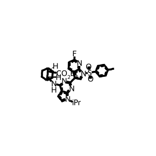 CCOC(=O)[C@@H]1C2CCC(CC2)[C@H]1Nc1nc(-c2cn(S(=O)(=O)c3ccc(C)cc3)c3nc(F)ccc23)nc2c1ccn2C(C)C